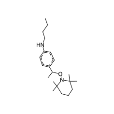 CCCCNc1ccc(C(C)ON2C(C)(C)CCCC2(C)C)cc1